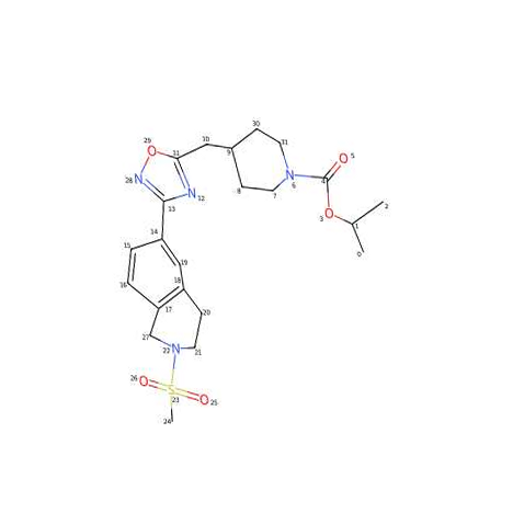 CC(C)OC(=O)N1CCC(Cc2nc(-c3ccc4c(c3)CCN(S(C)(=O)=O)C4)no2)CC1